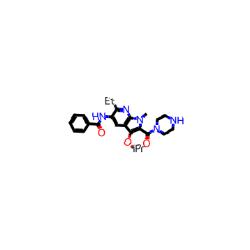 CCc1nc2c(cc1NC(=O)c1ccccc1)c(OC(C)C)c(C(=O)N1CCNCC1)n2C